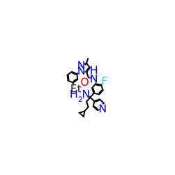 CCc1cccc(-n2nc(C)cc2C(=O)Nc2cc(C(N)(CCC3CC3)c3ccncc3)ccc2F)c1